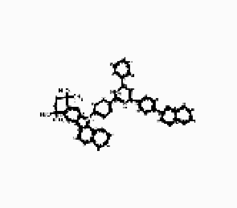 CC1(C)CCC(C)(C)c2cc3c(cc21)c1ccc2ccccc2c1n3C1=CC=C(C2=NC(c3ccc(-c4ccc5ccccc5c4)cc3)=CC(c3ccccc3)N2)CC1